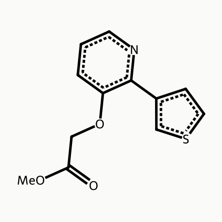 COC(=O)COc1cccnc1-c1ccsc1